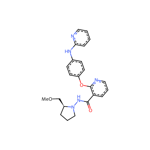 COC[C@@H]1CCCN1NC(=O)c1cccnc1Oc1ccc(Nc2ccccn2)cc1